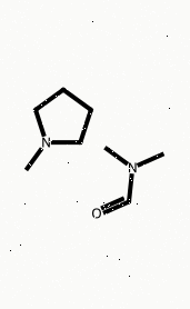 CN(C)C=O.CN1CCCC1